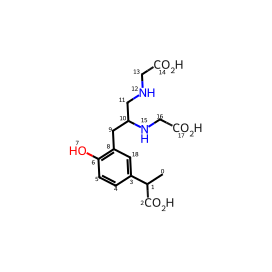 CC(C(=O)O)c1ccc(O)c(CC(CNCC(=O)O)NCC(=O)O)c1